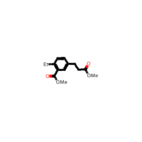 CCc1ccc(CCC(=O)OC)cc1C(=O)OC